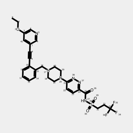 CCOc1cncc(C#Cc2ccccc2CN2CCN(c3ccc(C(=O)NS(=O)(=O)CCC(F)(F)F)nn3)CC2)c1